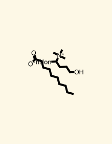 CCCCCCCCCC(=O)[O-].CCCCCCCCCC(CCCO)[N+](C)(C)C